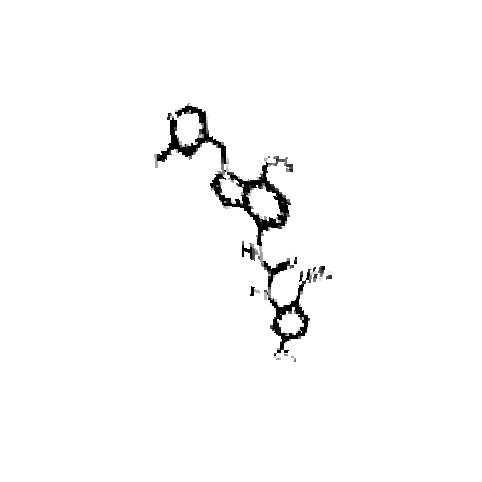 COc1ccc(C(F)(F)F)cc1NC(=O)Nc1ccc(C)c2c1ccn2Cc1ccnc(I)c1